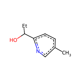 CCC(O)c1ccc(C)cn1